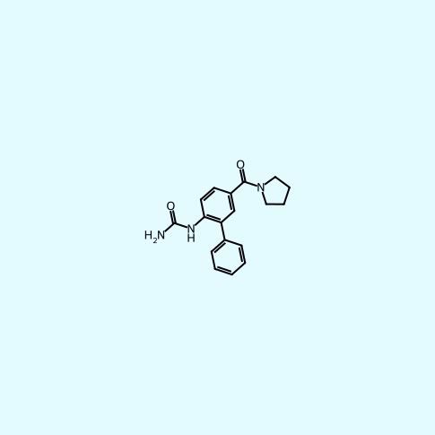 NC(=O)Nc1ccc(C(=O)N2CCCC2)cc1-c1ccccc1